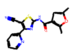 Cc1cc(C(=O)Nc2nc(-c3ccccn3)c(C#N)s2)c(C)o1